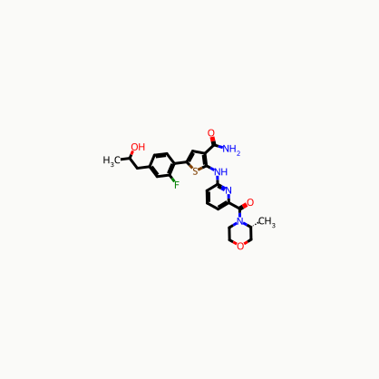 CC(O)Cc1ccc(-c2cc(C(N)=O)c(Nc3cccc(C(=O)N4CCOC[C@H]4C)n3)s2)c(F)c1